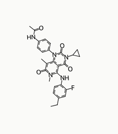 CCc1ccc(Nc2c3c(=O)n(C4CC4)c(=O)n(-c4ccc(NC(C)=O)cc4)c3c(C)c(=O)n2C)c(F)c1